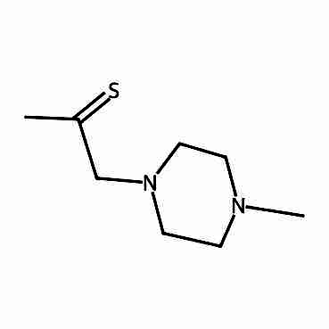 CC(=S)CN1CCN(C)CC1